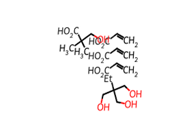 C=CC(=O)O.C=CC(=O)O.C=CC(=O)O.CC(C)(CO)C(=O)O.CCC(CO)(CO)CO